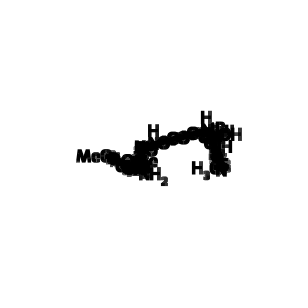 COc1ccc(COc2ccc(Cn3c(N)nc4cc(-c5cnn(CC(=O)NCCOCCOCCOCCOCCC(=O)N[C@H](C(=O)N6C[C@H](O)C[C@H]6C(=O)NCc6ccc(-c7scnc7C)cc6)C(C)(C)C)c5)cnc43)cc2OC)cc1